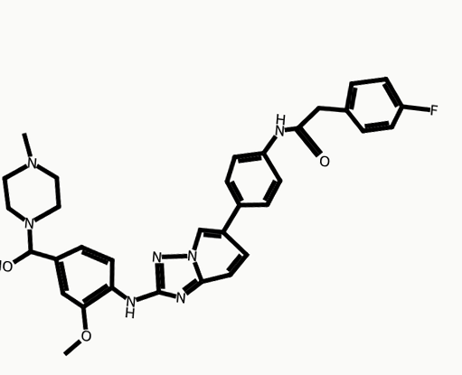 COc1cc(C(O)N2CCN(C)CC2)ccc1Nc1nc2ccc(-c3ccc(NC(=O)Cc4ccc(F)cc4)cc3)cn2n1